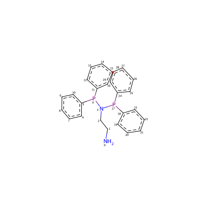 NCCN(P(c1ccccc1)c1ccccc1)P(c1ccccc1)c1ccccc1